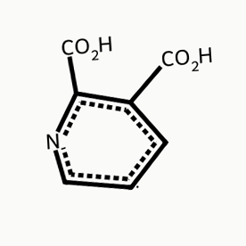 O=C(O)c1c[c]cnc1C(=O)O